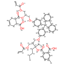 C=CC(=O)OCC(COc1ccc(C2(c3ccc(OCC(COC(=O)C=C)C(CC)(CCCC)OC(=O)c4ccc(C)cc4C(=O)O)cc3)c3ccccc3-c3ccccc32)cc1)OC(=O)C1CC=CCC1C(=O)O